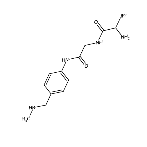 CBCc1ccc(NC(=O)CNC(=O)C(N)C(C)C)cc1